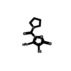 CCCc1c(CC)c(=O)on1C(=O)N1CCCC1